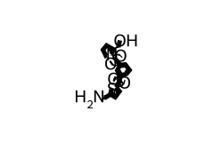 NCc1ccc(S(=O)(=O)c2cccc(S(=O)(=O)N3CCC[C@H]3CO)c2)s1